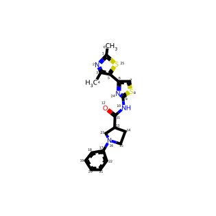 Cc1nc(C)c(-c2csc(NC(=O)C3CCN(c4ccccc4)C3)n2)s1